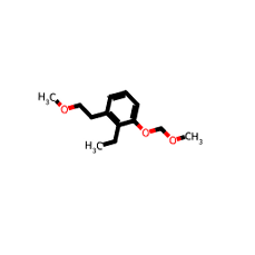 CCc1c(CCOC)[c]ccc1OCOC